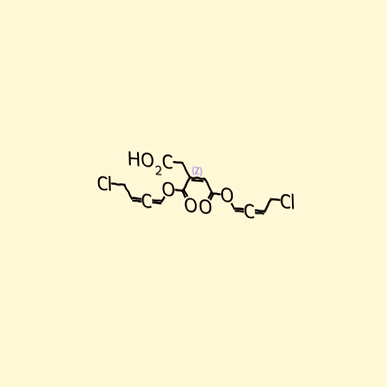 O=C(O)C/C(=C/C(=O)OC=C=CCCl)C(=O)OC=C=CCCl